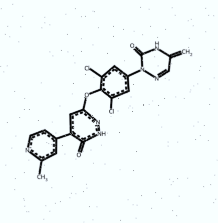 C=C1C=NN(c2cc(Cl)c(Oc3cc(-c4ccnc(C)c4)c(=O)[nH]n3)c(Cl)c2)C(=O)N1